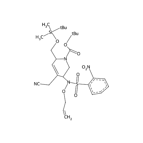 C=CCON(C1CN(C(=O)OC(C)(C)C)C(CO[Si](C)(C)C(C)(C)C)C=C1CC#N)S(=O)(=O)c1ccccc1[N+](=O)[O-]